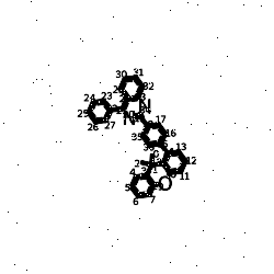 CC1(C)c2ccccc2Oc2cccc(-c3ccc(-c4nc(-c5ccccc5)c5ccccc5n4)cc3)c21